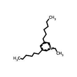 CCCCCCc1cc(CCCCCC)c[n+](CC)c1